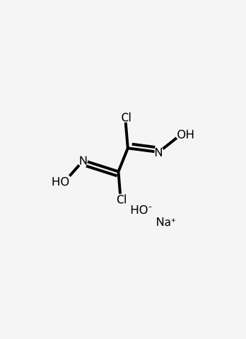 O/N=C(Cl)/C(Cl)=N/O.[Na+].[OH-]